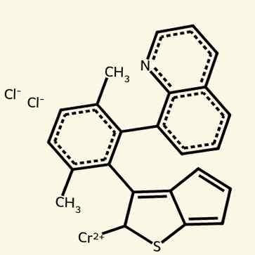 Cc1ccc(C)c(-c2cccc3cccnc23)c1C1=C2C=CC=C2S[CH]1[Cr+2].[Cl-].[Cl-]